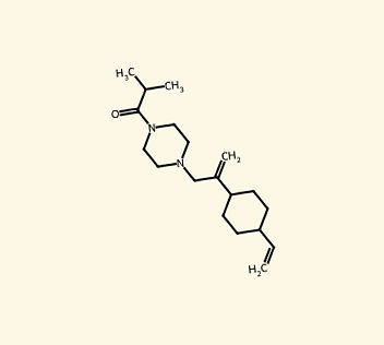 C=CC1CCC(C(=C)CN2CCN(C(=O)C(C)C)CC2)CC1